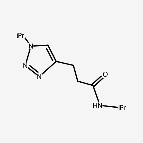 CC(C)NC(=O)CCc1cn(C(C)C)nn1